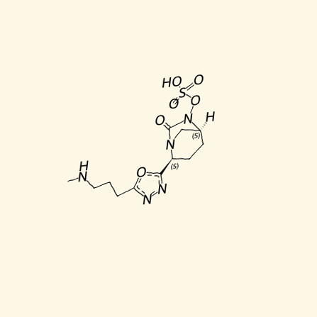 CNCCCc1nnc([C@@H]2CC[C@H]3CN2C(=O)N3OS(=O)(=O)O)o1